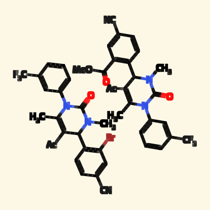 CC(=O)C1=C(C)N(c2cccc(C(F)(F)F)c2)C(=O)N(C)C1c1ccc(C#N)cc1Br.COC(=O)c1cc(C#N)ccc1C1C(C(C)=O)=C(C)N(c2cccc(C(F)(F)F)c2)C(=O)N1C